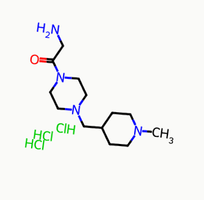 CN1CCC(CN2CCN(C(=O)CN)CC2)CC1.Cl.Cl.Cl